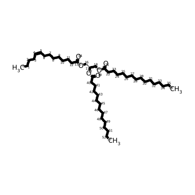 CCCC/C=C\CCCCCCCC(=O)OC[C@H](COC(=O)CCCCCCCCCCCCCCC)OC(=O)CCCCCCCCCCCCCC